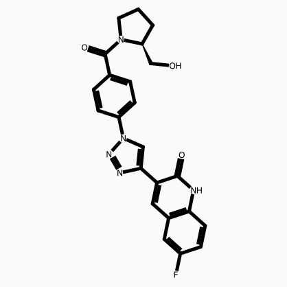 O=C(c1ccc(-n2cc(-c3cc4cc(F)ccc4[nH]c3=O)nn2)cc1)N1CCC[C@H]1CO